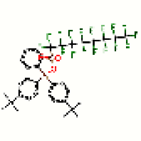 CC(C)(C)c1ccc(S(OS(=O)(=O)C(F)(F)C(F)(F)C(F)(F)C(F)(F)C(F)(F)C(F)(F)C(F)(F)C(F)(F)F)(c2ccccc2)c2ccc(C(C)(C)C)cc2)cc1